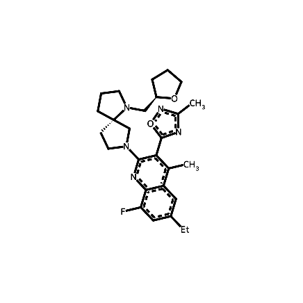 CCc1cc(F)c2nc(N3CC[C@@]4(CCCN4C[C@H]4CCCO4)C3)c(-c3nc(C)no3)c(C)c2c1